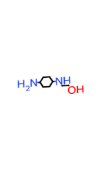 NC1CCC(NCCO)CC1